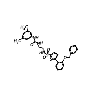 Cc1cc(C)cc(NC(=O)NCCNS(=O)(=O)c2ccc(-c3ccccc3OCc3ccccc3)s2)c1